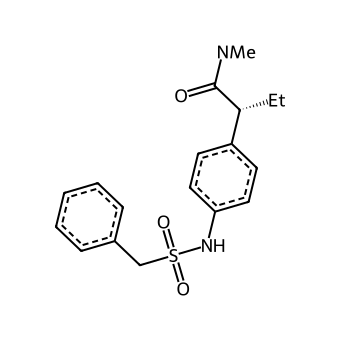 CC[C@@H](C(=O)NC)c1ccc(NS(=O)(=O)Cc2ccccc2)cc1